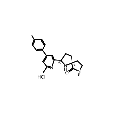 Cc1ccc(-c2cc(C)nc([C@H]3CC[C@@]4(CCN(C)C4=O)N3)c2)cc1.Cl